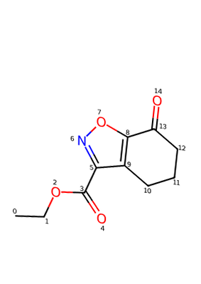 CCOC(=O)c1noc2c1CCCC2=O